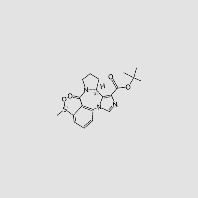 C[S+]([O-])c1cccc2c1C(=O)N1CCC[C@H]1c1c(C(=O)OC(C)(C)C)ncn1-2